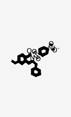 CCc1ccc2c(=O)n(S(=O)(=O)c3ccc([N+](=O)[O-])cc3)c(Cc3ccccc3)cc2c1